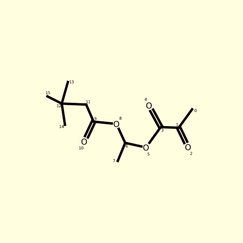 CC(=O)C(=O)OC(C)OC(=O)CC(C)(C)C